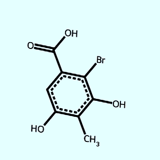 Cc1c(O)cc(C(=O)O)c(Br)c1O